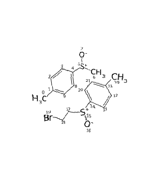 Cc1ccc([S+](C)[O-])cc1.Cc1ccc([S+]([O-])CCBr)cc1